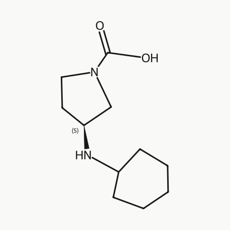 O=C(O)N1CC[C@H](NC2CCCCC2)C1